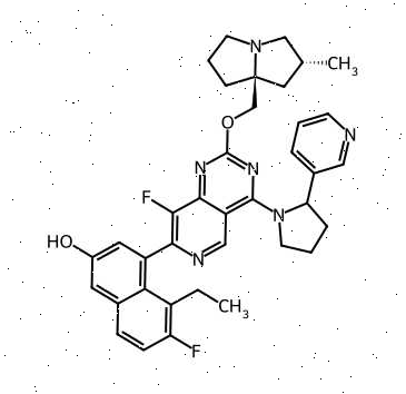 CCc1c(F)ccc2cc(O)cc(-c3ncc4c(N5CCCC5c5cccnc5)nc(OC[C@@]56CCCN5C[C@H](C)C6)nc4c3F)c12